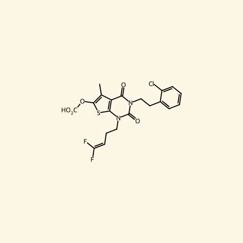 Cc1c(OC(=O)O)sc2c1c(=O)n(CCc1ccccc1Cl)c(=O)n2CCC=C(F)F